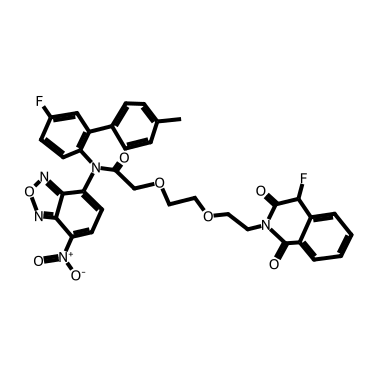 Cc1ccc(-c2cc(F)ccc2N(C(=O)COCCOCCN2C(=O)c3ccccc3C(F)C2=O)c2ccc([N+](=O)[O-])c3nonc23)cc1